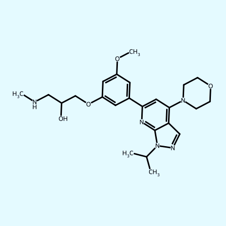 CNCC(O)COc1cc(OC)cc(-c2cc(N3CCOCC3)c3cnn(C(C)C)c3n2)c1